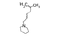 C=C(C)C/C=C/CN1CCCCC1